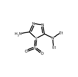 CCN(CC)C1=NN=C(N)S1=S(=O)=O